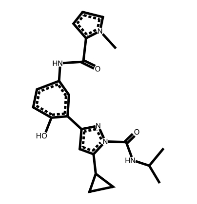 CC(C)NC(=O)n1nc(-c2cc(NC(=O)c3cccn3C)ccc2O)cc1C1CC1